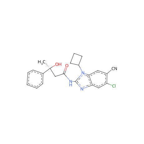 C[C@](O)(CC(=O)Nc1nc2cc(Cl)c(C#N)cc2n1C1CCC1)c1ccccc1